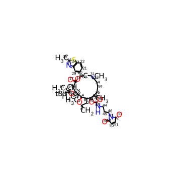 C=CC[C@H]1C(=O)C(C)(C)[C@@H](O[Si](C)(C)C(C)(C)C)CC(=O)O[C@H](c2ccc3sc(C)nc3c2)C/C=C(/C)CCC[C@H](C)[C@@H]1OC(=O)NCCCN1C(=O)C=CC1=O